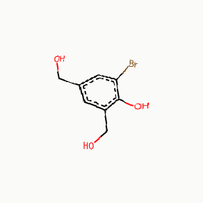 OCc1cc(Br)c(O)c(CO)c1